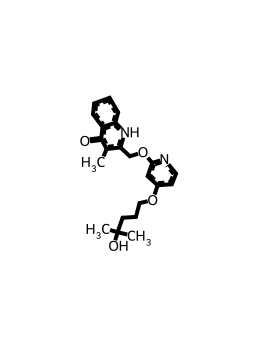 Cc1c(COc2cc(OCCCC(C)(C)O)ccn2)[nH]c2ccccc2c1=O